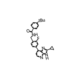 CC(C)(C)c1ccc(C(=O)NCc2ccc(-c3ccnc4[nH]c(C5CC5)nc34)cc2F)cc1